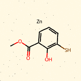 COC(=O)c1cccc(S)c1O.[Zn]